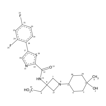 CC1(O)CCC(N2CC(CC(=O)O)(NC(=O)c3ncc(-c4ccc(F)cc4F)s3)C2)CC1